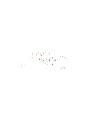 CC(C)CCOC(C)(C)CCN(C)C(=O)C(C)(C)CCOC(C)(C)CCC(C)C